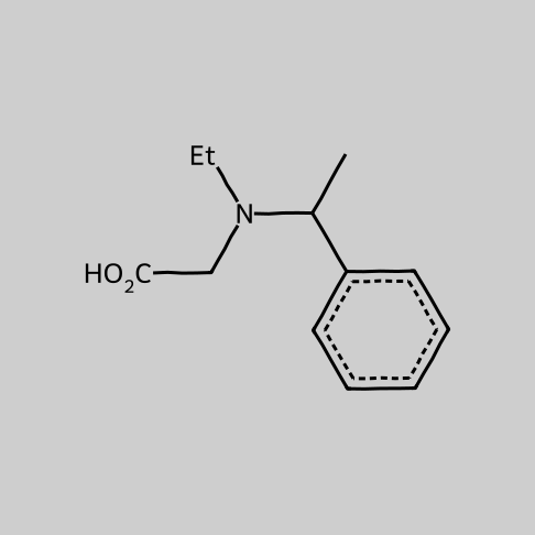 CCN(CC(=O)O)C(C)c1ccccc1